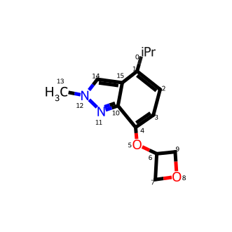 CC(C)c1ccc(OC2COC2)c2nn(C)cc12